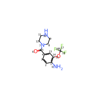 Nc1ccc(C(=O)N2CCNCC2)cc1OC(F)(F)F